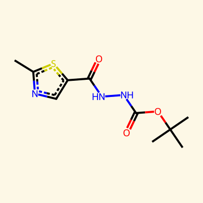 Cc1ncc(C(=O)NNC(=O)OC(C)(C)C)s1